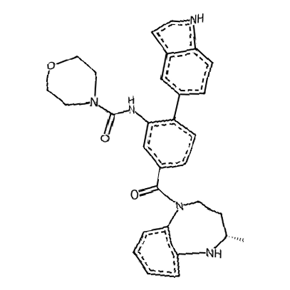 C[C@H]1CCN(C(=O)c2ccc(-c3ccc4[nH]ccc4c3)c(NC(=O)N3CCOCC3)c2)c2ccccc2N1